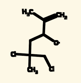 C=C(C)C([O])CC(C)(Cl)CCl